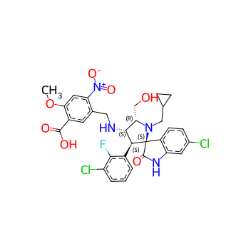 COc1cc([N+](=O)[O-])c(CN[C@@H]2[C@H](CO)N(CC3CC3)[C@@]3(C(=O)Nc4cc(Cl)ccc43)[C@H]2c2cccc(Cl)c2F)cc1C(=O)O